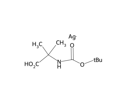 CC(C)(C)OC(=O)NC(C)(C)C(=O)O.[Ag]